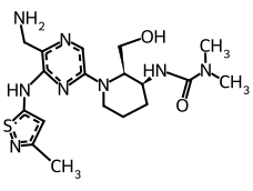 Cc1cc(Nc2nc(N3CCC[C@H](NC(=O)N(C)C)[C@@H]3CO)cnc2CN)sn1